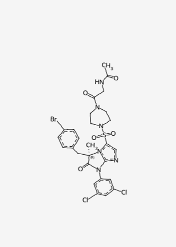 CC(=O)NCC(=O)N1CCN(S(=O)(=O)c2cnc3n2[C@](C)(Cc2ccc(Br)cc2)C(=O)N3c2cc(Cl)cc(Cl)c2)CC1